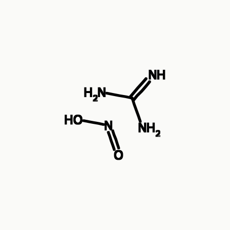 N=C(N)N.O=NO